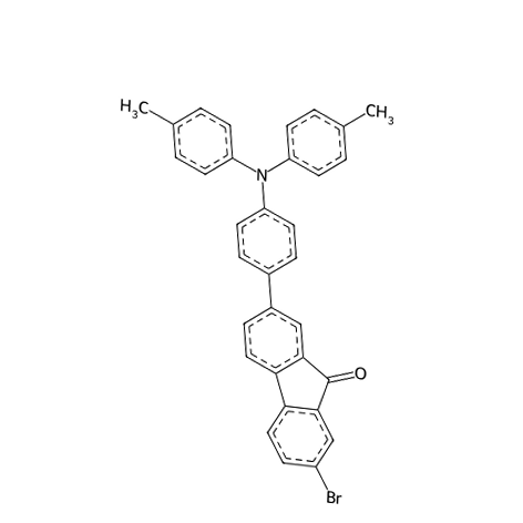 Cc1ccc(N(c2ccc(C)cc2)c2ccc(-c3ccc4c(c3)C(=O)c3cc(Br)ccc3-4)cc2)cc1